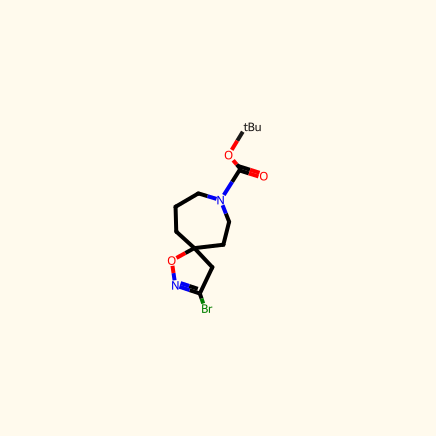 CC(C)(C)OC(=O)N1CCCC2(CC1)CC(Br)=NO2